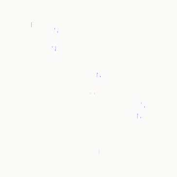 CCc1cn(Cc2ccc(NC(=O)C=Cc3cnn(C)c3-c3ccc(F)cc3)cc2)cn1